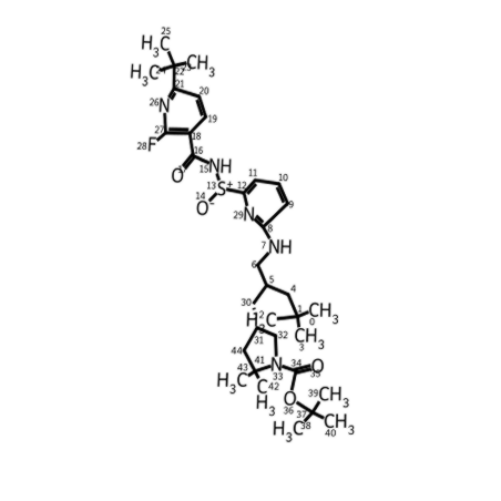 CC(C)(C)CC(CNc1cccc([S+]([O-])NC(=O)c2ccc(C(C)(C)C)nc2F)n1)C[C@@H]1CN(C(=O)OC(C)(C)C)C(C)(C)C1